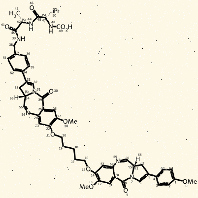 COc1ccc(C2=CN3C(=O)c4cc(OC)c(OCCCCCOc5cc6c(cc5OC)C(=O)N5C=C(c7ccc(CNC(=O)[C@H](C)NC(=O)[C@@H](NC(=O)O)C(C)C)cc7)C[C@H]5C=N6)cc4N=C[C@@H]3C2)cc1